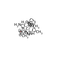 Cc1cc(C)cc(-c2[nH]nc(OCC(C)(C)C(=O)N3C4CCC3CC4)c2[C@H](C)CN(CCc2ccc(N)cc2)S(=O)(=O)c2cccc3cccc(N(C)C)c23)c1